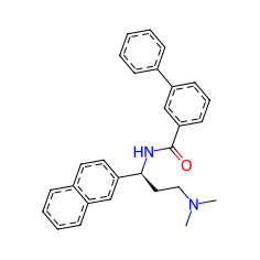 CN(C)CC[C@H](NC(=O)c1cccc(-c2ccccc2)c1)c1ccc2ccccc2c1